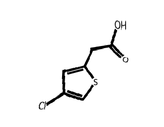 O=C(O)Cc1cc(Cl)cs1